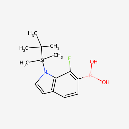 CC(C)(C)[Si](C)(C)n1ccc2ccc(B(O)O)c(F)c21